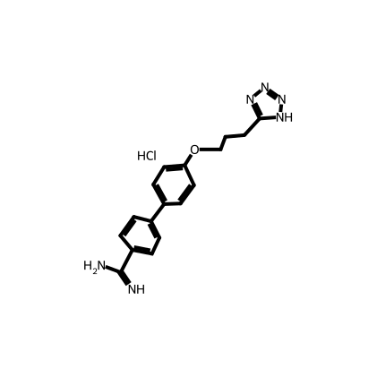 Cl.N=C(N)c1ccc(-c2ccc(OCCCc3nnn[nH]3)cc2)cc1